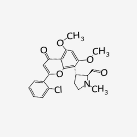 COc1cc(OC)c2c(=O)cc(-c3ccccc3Cl)oc2c1[C@H]1CCN(C)[C@@H]1C=O